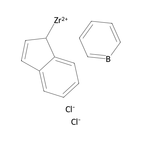 [Cl-].[Cl-].[Zr+2][CH]1C=Cc2ccccc21.b1ccccc1